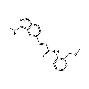 COCc1ccccc1NC(=O)/C=C/c1ccc2cnn(PI)c2c1